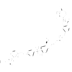 CC(C)(c1ccc(OCc2ccnc(NS(C)(=O)=O)n2)cc1)c1cc(Cl)c(OCCCC(=O)NCc2ccc3c(c2)CN(C2CCC(=O)NC2=O)C3=O)c(C#N)c1